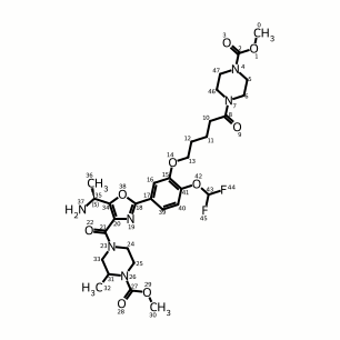 COC(=O)N1CCN(C(=O)CCCCOc2cc(-c3nc(C(=O)N4CCN(C(=O)OC)C(C)C4)c([C@H](C)N)o3)ccc2OC(F)F)CC1